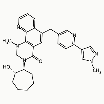 CN1CN([C@H]2CCCCC[C@@H]2O)C(=O)c2cc(Cc3ccc(-c4cnn(C)c4)nc3)c3cccnc3c21